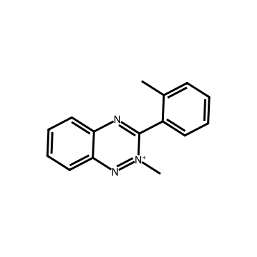 Cc1ccccc1-c1nc2ccccc2n[n+]1C